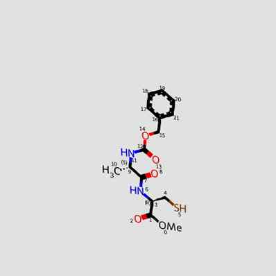 COC(=O)[C@H](CS)NC(=O)[C@H](C)NC(=O)OCc1ccccc1